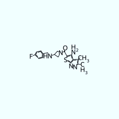 Cc1nnc2sc(C(=O)N3CC(NCc4ccc(F)cc4)C3)c(N)c2c1C